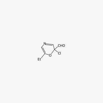 CCC1=CN=CC(Cl)(C=O)O1